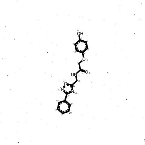 O=C(COc1ccc(O)cc1)NCc1nc(-c2ccccc2)no1